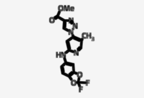 COC(=O)c1cn(-c2cc(Nc3ccc4c(c3)OC(F)(F)O4)ncc2C)nn1